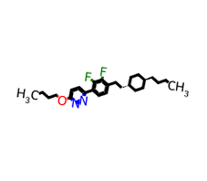 CCCCOc1ccc(-c2ccc(CC[C@H]3CC[C@H](CCCC)CC3)c(F)c2F)nn1